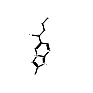 CCCC(I)c1cnc2nc(C)cn2c1